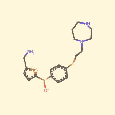 NCc1ccc([S+]([O-])c2ccc(SCCN3CCCNCC3)cc2)s1